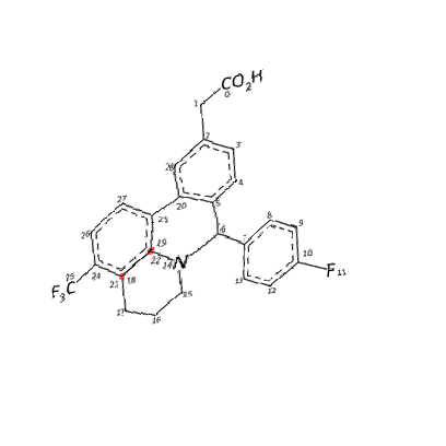 O=C(O)Cc1ccc(C(c2ccc(F)cc2)N2CCCCC2)c(-c2ccc(C(F)(F)F)cc2)c1